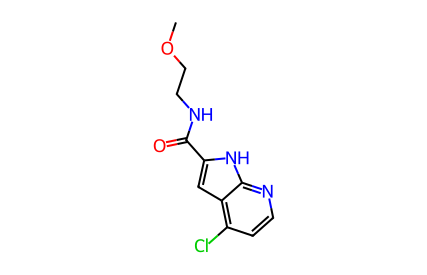 COCCNC(=O)c1cc2c(Cl)ccnc2[nH]1